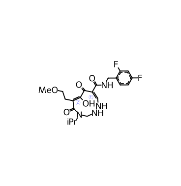 COCC/C1=C(/O)C(=O)/C(C(=O)NCc2ccc(F)cc2F)=C\NNCN(C(C)C)C1=O